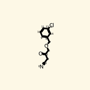 N#CCC(=O)COCc1cccc(Cl)c1